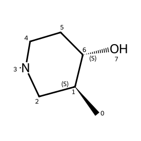 C[C@H]1C[N]CC[C@@H]1O